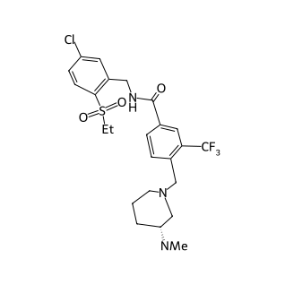 CCS(=O)(=O)c1ccc(Cl)cc1CNC(=O)c1ccc(CN2CCC[C@@H](NC)C2)c(C(F)(F)F)c1